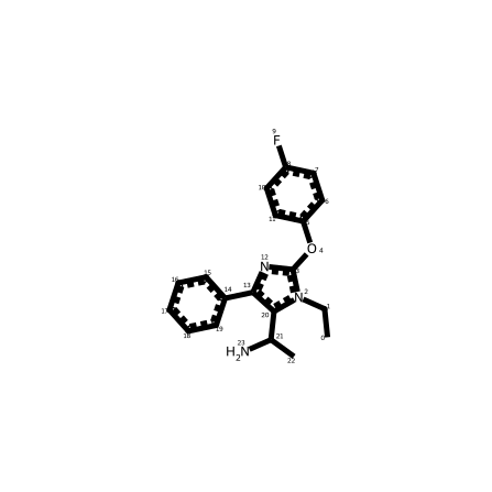 CCn1c(Oc2ccc(F)cc2)nc(-c2ccccc2)c1C(C)N